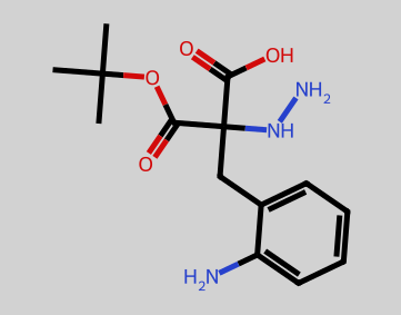 CC(C)(C)OC(=O)C(Cc1ccccc1N)(NN)C(=O)O